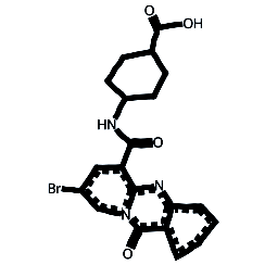 O=C(NC1CCC(C(=O)O)CC1)c1cc(Br)cn2c(=O)c3ccccc3nc12